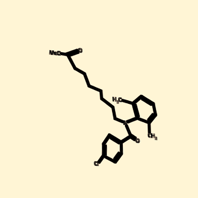 COC(=O)CCCCCCCN(C(=O)c1ccc(Cl)cc1)c1c(C)cccc1C